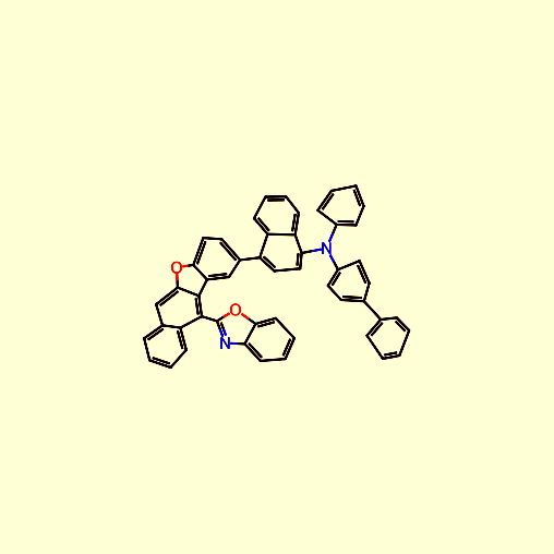 c1ccc(-c2ccc(N(c3ccccc3)c3ccc(-c4ccc5oc6cc7ccccc7c(-c7nc8ccccc8o7)c6c5c4)c4ccccc34)cc2)cc1